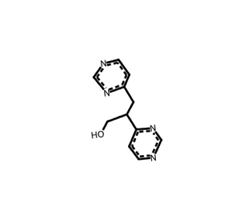 OCC(Cc1ccncn1)c1ccncn1